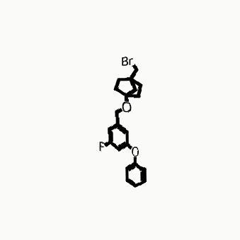 Fc1cc(COC23CCC(CBr)(CC2)C3)cc(Oc2ccccc2)c1